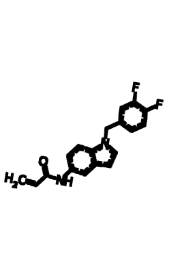 C=CC(=O)Nc1ccc2c(ccn2Cc2ccc(F)c(F)c2)c1